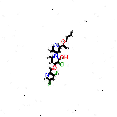 C=C(OCCCC)c1cc(N2C(C)=CC(OCc3ncc(F)cc3F)=C(Cl)C2O)c(C)cn1